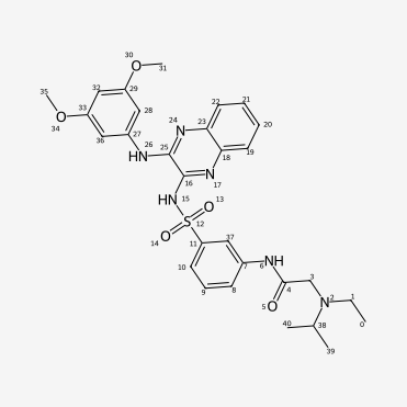 CCN(CC(=O)Nc1cccc(S(=O)(=O)Nc2nc3ccccc3nc2Nc2cc(OC)cc(OC)c2)c1)C(C)C